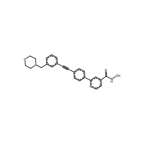 O=C(NO)c1ccnc(-c2ccc(C#Cc3cccc(CN4CCOCC4)c3)cc2)c1